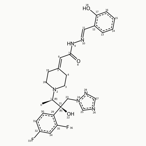 C[C@@H](N1CCC(=CC(=O)NN=Cc2ccccc2O)CC1)[C@](O)(Cn1cncn1)c1ccc(F)cc1F